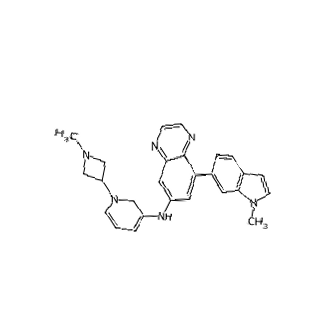 CN1CC(N2C=CC=C(Nc3cc(-c4ccc5ccn(C)c5c4)c4nccnc4c3)C2)C1